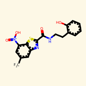 O=C(NCCc1ccccc1O)c1nc2cc(C(F)(F)F)cc([N+](=O)O)c2s1